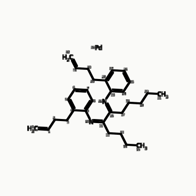 C=CCCc1ccccc1N=C(CCCC)C(CCCCC)=Nc1ccccc1CCC=C.[Pd]